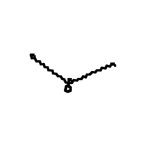 CCCCCCCCCCCCCCCCCCC(P)(CCCCCCCCCCCCCCCCCC)c1ccccc1